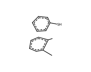 Cc1ccccc1C.Sc1ccccc1